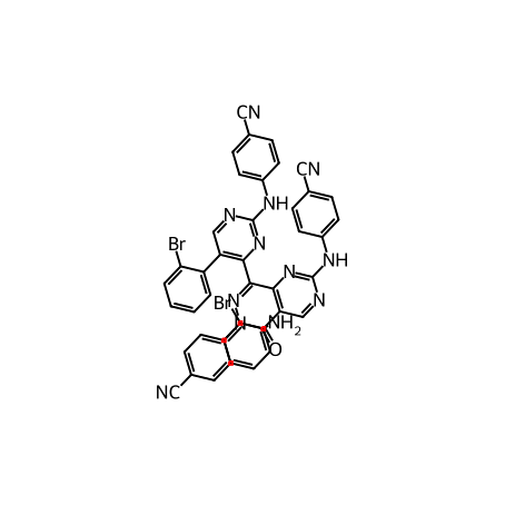 N#Cc1ccc(Nc2ncc(-c3ccccc3Br)c(C(=NN(C(N)=O)c3ccc(C#N)cc3)c3nc(Nc4ccc(C#N)cc4)ncc3-c3ccccc3Br)n2)cc1